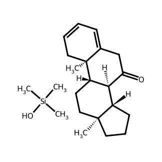 C[C@@]12CCC[C@H]1[C@@H]1C(=O)CC3=CC=CC[C@]3(C)[C@H]1CC2.C[Si](C)(C)O